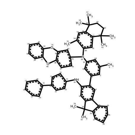 Cc1cc(-c2cc3c(cc2Nc2ccc(-c4ccccc4)cc2)C(C)(C)c2ccccc2-3)cc(N(c2ccc3c(c2)Oc2ccccc2O3)c2cc3c(cc2C)C(C)(C)CCC3(C)C)c1